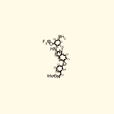 Bc1ccc(Nc2nc3cc(Oc4ccnc(/C=N\OC)c4)ccc3n2C)c(OC(F)(F)F)c1